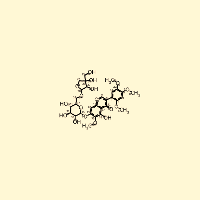 COc1cc(OC)c(-c2coc3cc(O[C@@H]4OC(COC5OCC(O)(CO)C5O)[C@@H](O)C(O)[C@@H]4O)c(OC)c(O)c3c2=O)cc1OC